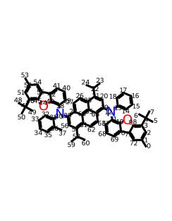 Cc1cc(C(C)(C)C)c2oc3c(N(c4ccccc4)c4cc(C(C)C)c5ccc6c(N(c7ccccc7C)c7cccc8c7oc7c(C(C)(C)C)cc(C)cc78)cc(C(C)C)c7ccc4c5c76)cccc3c2c1